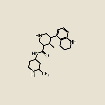 CC1C(C(=O)NC2CCNC(C(F)(F)F)C2)CNCC1c1cccc2c1CCCN2